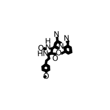 COc1ccc(CCC2=C(C(=O)OCc3cccc(C#N)c3)C(c3cncc(C#N)c3)NC(=O)N2)cc1